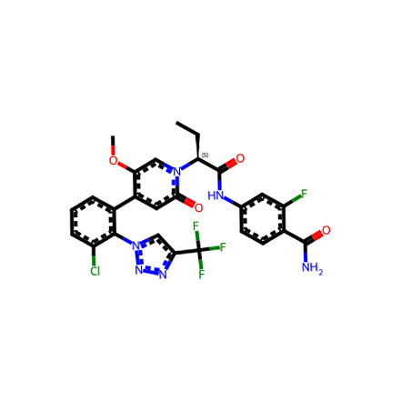 CC[C@@H](C(=O)Nc1ccc(C(N)=O)c(F)c1)n1cc(OC)c(-c2cccc(Cl)c2-n2cc(C(F)(F)F)nn2)cc1=O